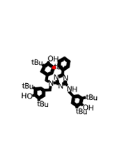 CC(C)(C)c1cc(CNc2nc(-c3ccccc3)nc(N(Cc3cc(C(C)(C)C)c(O)c(C(C)(C)C)c3)Cc3cc(C(C)(C)C)c(O)c(C(C)(C)C)c3)n2)cc(C(C)(C)C)c1O